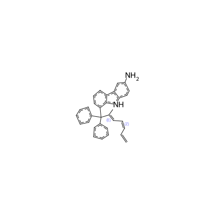 C=C/C=C\C=C(/C)C(c1ccccc1)(c1ccccc1)c1cccc2c1[nH]c1ccc(N)cc12